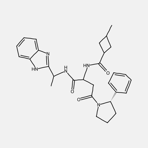 CC1CC(C(=O)NC(CC(=O)N2CCC[C@H]2c2ccccc2)C(=O)NC(C)c2nc3ccccc3[nH]2)C1